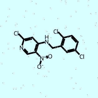 O=[N+]([O-])c1cnc(Cl)cc1NCc1cc(Cl)ccc1Cl